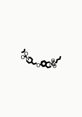 CCCCS(=O)(=O)N1CCc2cc(OCCC3CCN(C(=O)OC(C)C)CC3)ccc2C1